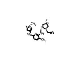 Cc1cnc(Nc2cnn(C)c2)nc1NC[C@@H]1C[C@H](F)CN1CC#N